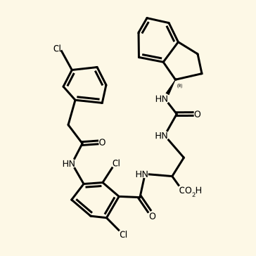 O=C(Cc1cccc(Cl)c1)Nc1ccc(Cl)c(C(=O)NC(CNC(=O)N[C@@H]2CCc3ccccc32)C(=O)O)c1Cl